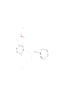 CC(=O)NC[C@H]1CN(Cc2ccccc2)c2cc(NC(=O)OC(C)(C)C(F)(F)F)ccc2O1